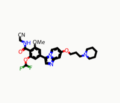 COc1cc(-c2cnc3cc(OCCCN4CCCCC4)ccn23)cc(OC(F)F)c1C(=O)NCC#N